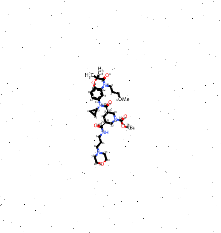 COCCCN1C(=O)C(C)(C)Oc2ccc(N(C(=O)[C@@H]3C[C@H](C(=O)NCCCN4CCOCC4)CN(C(=O)OC(C)(C)C)C3)C3CC3)cc21